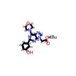 CC(C)(C)OC(=O)Cn1nnc2c(N3CCOCC3)nc(-c3cccc(O)c3)nc21